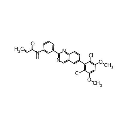 C=CC(=O)Nc1cccc(-c2ncc3cc(-c4c(Cl)c(OC)cc(OC)c4Cl)ccc3n2)c1